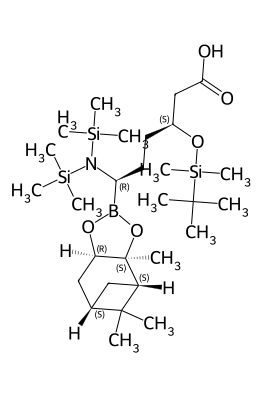 CC1(C)[C@@H]2C[C@H]3OB([C@H](CC[C@@H](CC(=O)O)O[Si](C)(C)C(C)(C)C)N([Si](C)(C)C)[Si](C)(C)C)O[C@@]3(C)[C@H]1C2